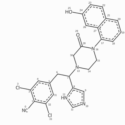 N#Cc1c(Cl)cc(CC(c2cnc[nH]2)N2CCN(c3cccc4ccc(O)cc34)C(=O)C2)cc1Cl